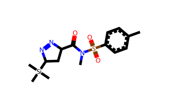 Cc1ccc(S(=O)(=O)N(C)C(=O)C2CC([Si](C)(C)C)N=N2)cc1